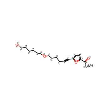 COC(=O)c1ccc(C#CCCCCOCCCCCCBr)o1